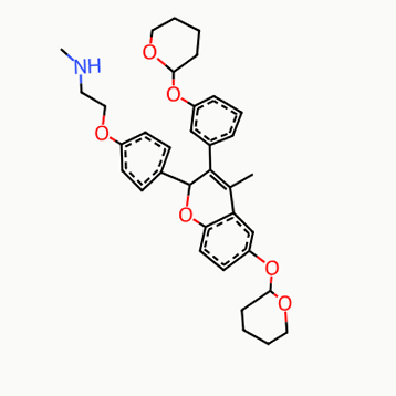 CNCCOc1ccc(C2Oc3ccc(OC4CCCCO4)cc3C(C)=C2c2cccc(OC3CCCCO3)c2)cc1